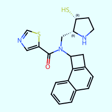 O=C(c1cncs1)N(C[C@H]1NCC[C@H]1S)C1Cc2ccc3ccccc3c21